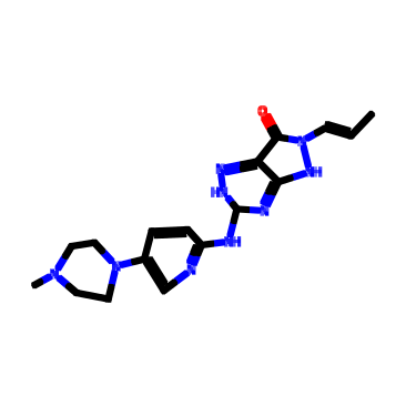 CC=Cn1[nH]c2c(c1=O)=NNC(Nc1ccc(N3CCN(C)CC3)cn1)N=2